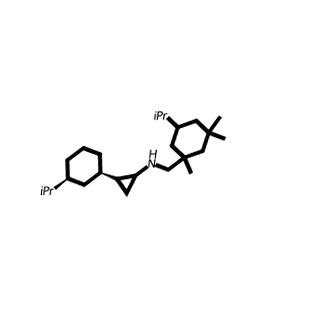 CC(C)C1CC(C)(C)CC(C)(CNC2CC2[C@@H]2CCC[C@H](C(C)C)C2)C1